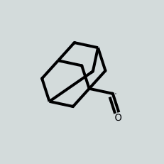 O=[C]C12CC3CC(CC(C3)C1)C2